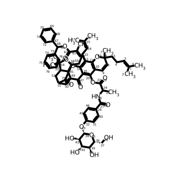 CC(C)=CCCC1(C)C=Cc2c(c(CC=C(C)C)c3c(c2OC(=O)C(C)NC(=O)c2ccc(O[C@@H]4O[C@H](CO)[C@@H](O)[C@H](O)[C@H]4O)cc2)C(=O)C2=CC4CC5C(C)(C)OC(C/C=C(/C)C(=O)OC(c6ccccc6)c6ccccc6)(C4=O)C25O3)O1